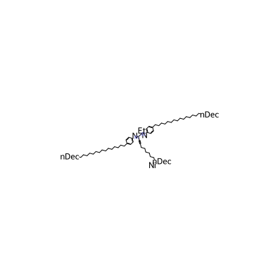 CCCCCCCCCCCCCCCCC#CC(=N\c1ccc(CCCCCCCCCCCCCCCCCCCCCCCCC)cc1)/C(CC)=N/c1ccc(CCCCCCCCCCCCCCCCCCCCCCCCC)cc1.[Ni]